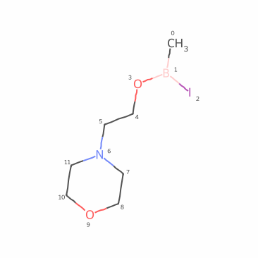 CB(I)OCCN1CCOCC1